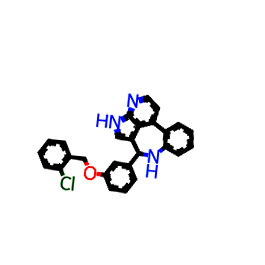 Clc1ccccc1COc1cccc(C2Nc3ccccc3-c3ccnc4[nH]cc2c34)c1